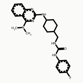 CN(C)c1nc(NC2CCC(CNC(=O)Nc3ccc(F)cc3)CC2)nc2ccccc12